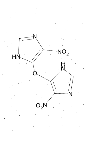 O=[N+]([O-])c1nc[nH]c1Oc1[nH]cnc1[N+](=O)[O-]